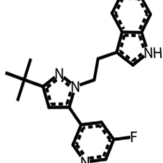 CC(C)(C)c1cc(-c2cncc(F)c2)n(CCc2c[nH]c3ccccc23)n1